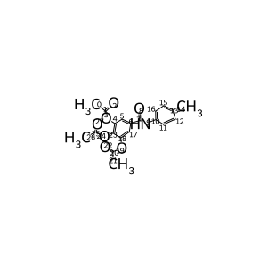 CC(=O)Oc1cc(C(=O)Nc2ccc(C)cc2)cc(OC(C)=O)c1OC(C)=O